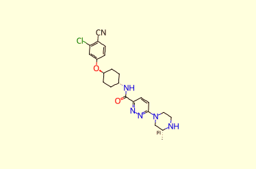 C[C@@H]1CN(c2ccc(C(=O)N[C@H]3CC[C@H](Oc4ccc(C#N)c(Cl)c4)CC3)nn2)CCN1